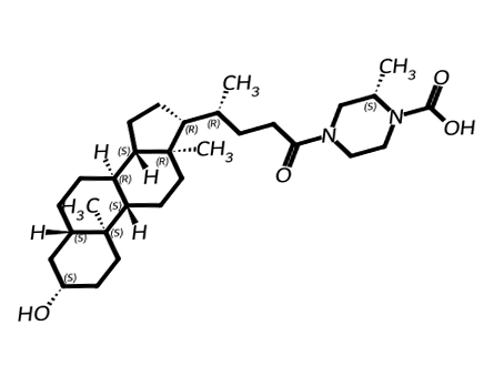 C[C@H](CCC(=O)N1CCN(C(=O)O)[C@@H](C)C1)[C@H]1CC[C@H]2[C@@H]3CC[C@H]4C[C@@H](O)CC[C@]4(C)[C@H]3CC[C@]12C